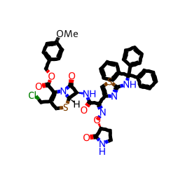 COc1ccc(COC(=O)C2=C(CCl)CS[C@@H]3[C@H](NC(=O)/C(=N\O[C@H]4CCNC4=O)c4csc(NC(c5ccccc5)(c5ccccc5)c5ccccc5)n4)C(=O)N23)cc1